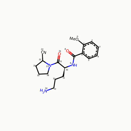 COc1ccccc1C(=O)N[C@@H](CCCN)C(=O)N1CCCC1C#N